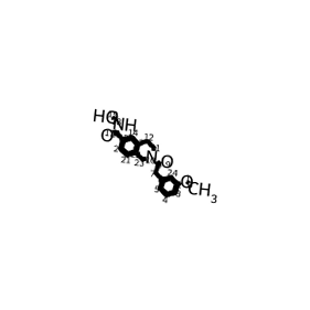 COc1cccc(CC(=O)N2CCc3cc(C(=O)NO)ccc3C2)c1